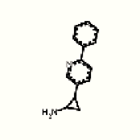 NC1CC1c1ccc(-c2ccccc2)nc1